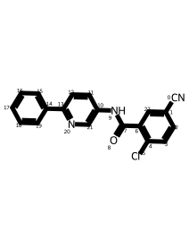 N#Cc1ccc(Cl)c(C(=O)Nc2ccc(-c3ccccc3)nc2)c1